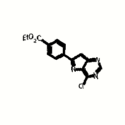 CCOC(=O)c1ccc(C2=Nc3c(Cl)ncnc3C2)cc1